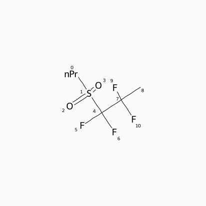 CCCS(=O)(=O)C(F)(F)C(C)(F)F